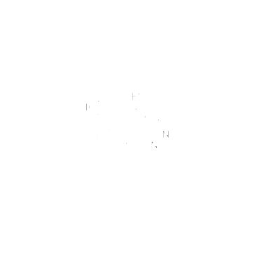 Cn1ncc2c(F)c(C(=O)O)c(F)cc21